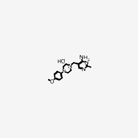 COc1ccc(N2CCN(Cc3cnc(C)nc3N)CC2)cc1.Cl